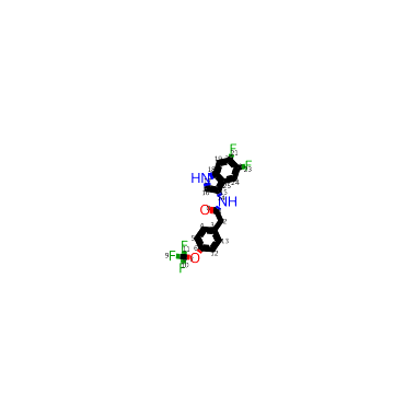 O=C(Cc1ccc(OC(F)(F)F)cc1)Nc1c[nH]c2cc(F)c(F)cc12